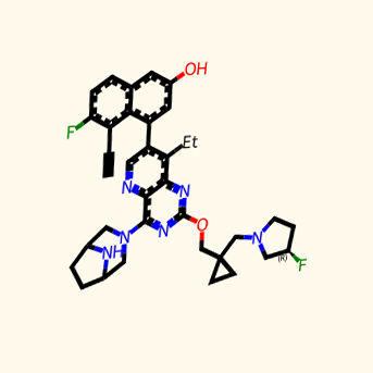 C#Cc1c(F)ccc2cc(O)cc(-c3cnc4c(N5CC6CCC(C5)N6)nc(OCC5(CN6CC[C@@H](F)C6)CC5)nc4c3CC)c12